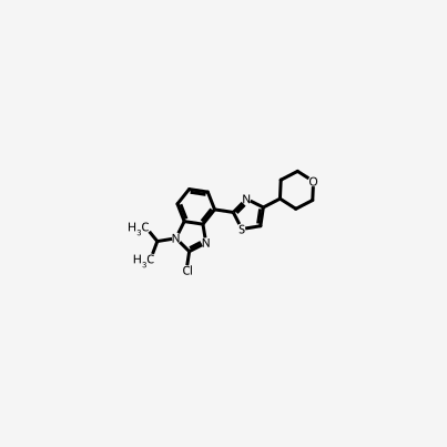 CC(C)n1c(Cl)nc2c(-c3nc(C4CCOCC4)cs3)cccc21